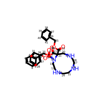 O=C(OCc1ccccc1)N1CCNCCNCCNCC1(C(=O)OCc1ccccc1)C(=O)OCc1ccccc1